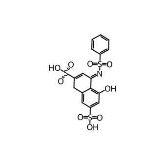 O=S(=O)(O)C1=CC(=NS(=O)(=O)c2ccccc2)c2c(O)cc(S(=O)(=O)O)cc2C1